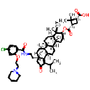 CC(C)C1=C2[C@H]3CC[C@@H]4[C@@]5(C)CC[C@H](OC(=O)[C@H]6C[C@@H](C(=O)O)C6(C)C)C(C)(C)[C@@H]5CC[C@@]4(C)[C@]3(C)CC[C@@]2(CCNC(=O)c2ccc(Cl)cc2OCCN2CCCCC2)CC1=O